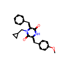 COc1ccc(C=c2[nH]c(=O)c(=Cc3ccccc3)n(CC3CC3)c2=O)cc1